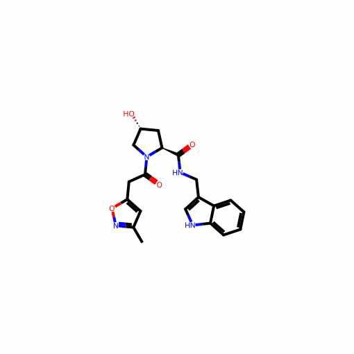 Cc1cc(CC(=O)N2C[C@H](O)C[C@H]2C(=O)NCc2c[nH]c3ccccc23)on1